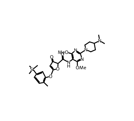 COc1nc(N2CCC(N(C)C)CC2)nc(OC)c1NC(=O)C1OC(Oc2cc([Si](C)(C)C)ccc2C)=CC1=O